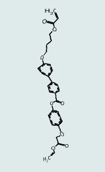 C=COC(=O)COc1ccc(OC(=O)c2ccc(-c3ccc(OCCCCOC(=O)C=C)cc3)cc2)cc1